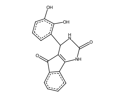 O=C1NC2=C(C(=O)c3ccccc32)C(c2cccc(O)c2O)N1